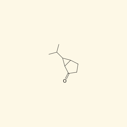 CC(C)C1C2CCC(=O)C21